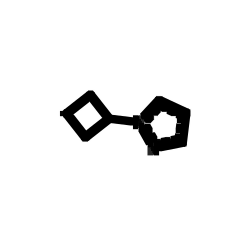 [CH]1CC(n2cccn2)C1